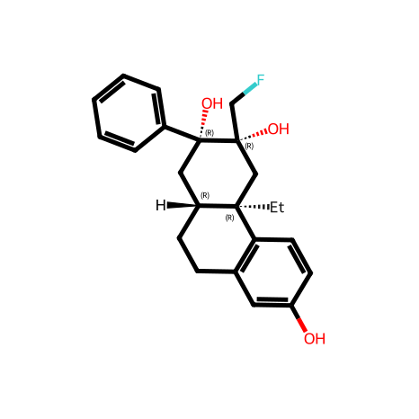 CC[C@@]12C[C@](O)(CF)[C@](O)(c3ccccc3)C[C@H]1CCc1cc(O)ccc12